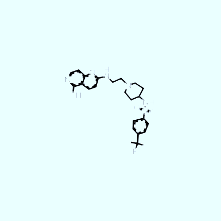 Cc1nccc2nc(NCCN3CCC(NS(=O)(=O)c4ccc(C(F)(F)F)cc4)CC3)ccc12